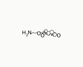 C[C@]12CCC(=O)C=C1CCC1C2=CC[C@@]2(C)C1CC[C@@H]2C(=O)COCCCCN